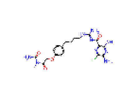 CN(C(N)=O)C(=O)COc1ccc(CCCCNC(N)=NC(=O)c2nc(Cl)c(N)nc2N)cc1